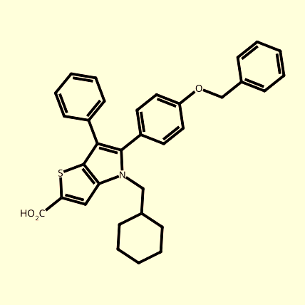 O=C(O)c1cc2c(s1)c(-c1ccccc1)c(-c1ccc(OCc3ccccc3)cc1)n2CC1CCCCC1